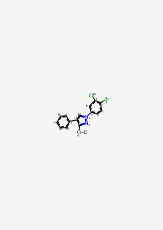 O=Cc1nn(-c2ccc(Br)c(Cl)c2)cc1-c1ccccc1